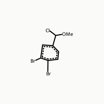 COC(Cl)c1ccc(Br)c(Br)c1